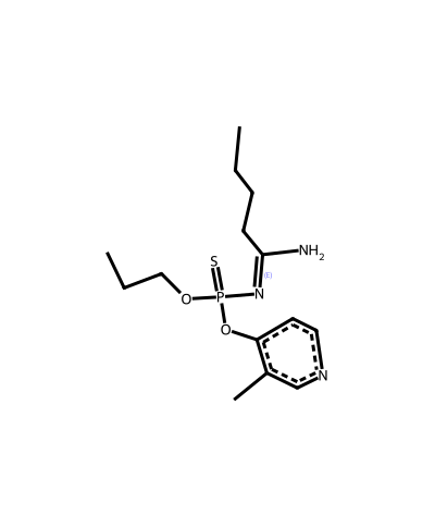 CCCC/C(N)=N\P(=S)(OCCC)Oc1ccncc1C